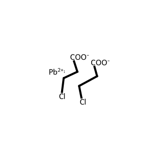 O=C([O-])CCCl.O=C([O-])CCCl.[Pb+2]